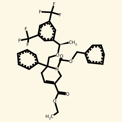 CCOC(=O)C1=CCC(CO[C@H](C)c2cc(C(F)(F)F)cc(C(F)(F)F)c2)(c2ccccc2)N(C(=O)OCc2ccccc2)C1